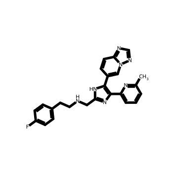 Cc1cccc(-c2nc(CNCCc3ccc(F)cc3)[nH]c2-c2ccc3ncnn3c2)n1